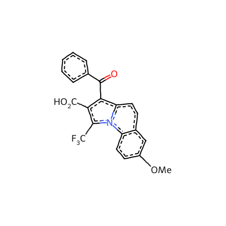 COc1ccc2c(ccc3c(C(=O)c4ccccc4)c(C(=O)O)c(C(F)(F)F)n32)c1